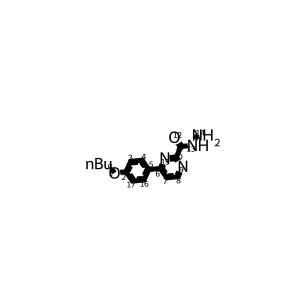 CCCCOc1ccc(-c2ccnc(C(=O)NN)n2)cc1